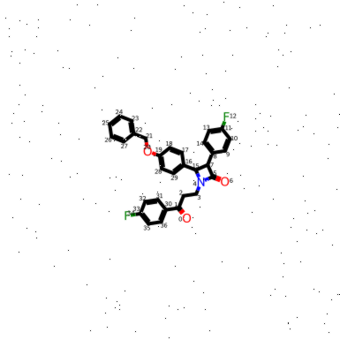 O=C(CCN1C(=O)C(c2ccc(F)cc2)C1c1ccc(OCc2ccccc2)cc1)c1ccc(F)cc1